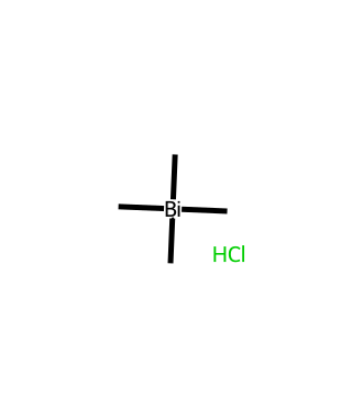 Cl.[CH3][Bi]([CH3])([CH3])[CH3]